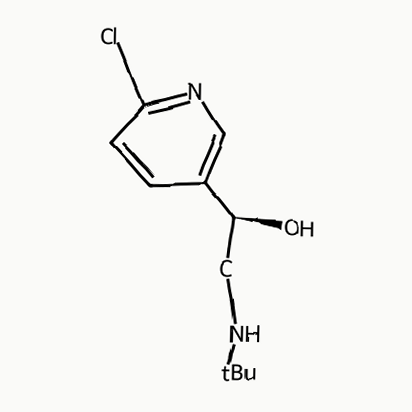 CC(C)(C)NC[C@H](O)c1ccc(Cl)nc1